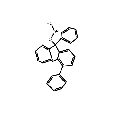 Cc1c(-c2ccccc2)cccc1C(OB(O)O)(c1ccccc1)c1ccccc1